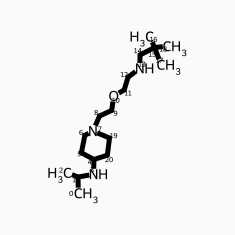 CC(C)NC1CCN(CCOCCNCC(C)(C)C)CC1